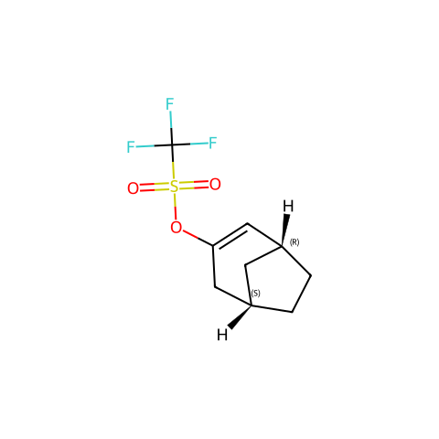 O=S(=O)(OC1=C[C@@H]2CC[C@H](C1)C2)C(F)(F)F